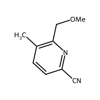 COCc1nc(C#N)ccc1C